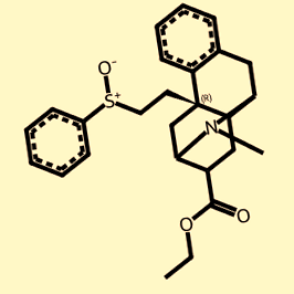 CCOC(=O)C1CC2C3Cc4ccccc4[C@@]2(CC[S+]([O-])c2ccccc2)CC1N3C